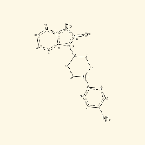 Nc1ccc(N2CCC(n3c(=O)[nH]c4ncccc43)CC2)cc1